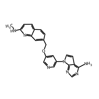 CNc1ccc2ccc(COc3cncc(-n4ccc5c(N)ncnc54)c3)cc2n1